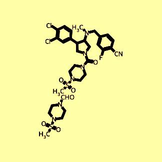 CN(Cc1ccc(C#N)c(F)c1)C1CN(C(=O)N2CCN(S(C)(=O)=O)CC2)CC1c1ccc(Cl)c(Cl)c1.CS(=O)(=O)N1CCN(C=O)CC1